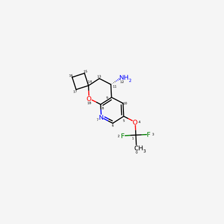 CC(F)(F)Oc1cnc2c(c1)[C@@H](N)CC1(CCC1)O2